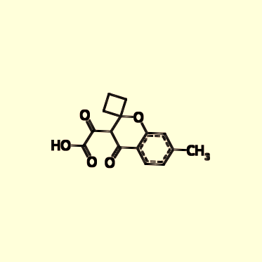 Cc1ccc2c(c1)OC1(CCC1)C(C(=O)C(=O)O)C2=O